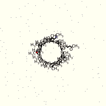 C/C=C/C[C@@H](C)[C@@H](O)[C@H]1C(=O)N[C@@H](CC)C(=O)N(C)[C@H](CSCCCC(C)=O)C(=O)CN(C)[C@@H](CC(C)(C)O)C(=O)N[C@@H](C(C)C)C(=O)N(C)[C@@H](CC(C)C)C(=O)N[C@@H](C)C(=O)N[C@H](C)C(=O)N(C)[C@@H](CC(C)C)C(=O)N(C)[C@@H](CC(C)C)C(=O)N(C)[C@@H](C(C)C)C(=O)N1C